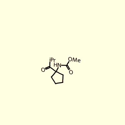 COC(=O)NC1(C(=O)C(C)C)CCCC1